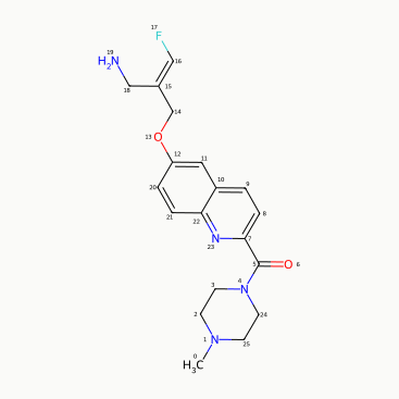 CN1CCN(C(=O)c2ccc3cc(OC/C(=C/F)CN)ccc3n2)CC1